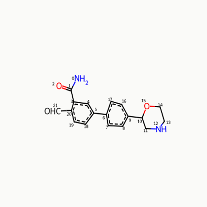 NC(=O)c1cc(-c2ccc(C3CNCCO3)cc2)ccc1C=O